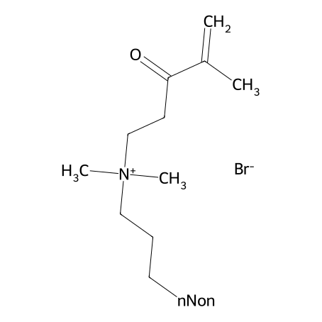 C=C(C)C(=O)CC[N+](C)(C)CCCCCCCCCCCC.[Br-]